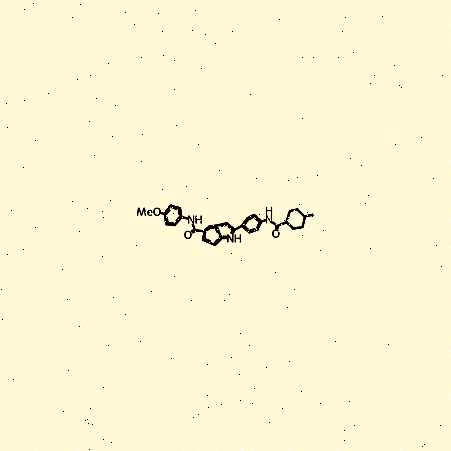 COc1ccc(NC(=O)c2ccc3[nH]c(-c4ccc(NC(=O)C5CCC(C)CC5)cc4)cc3c2)cc1